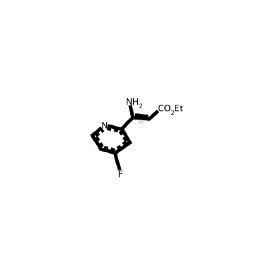 CCOC(=O)/C=C(\N)c1cc(F)ccn1